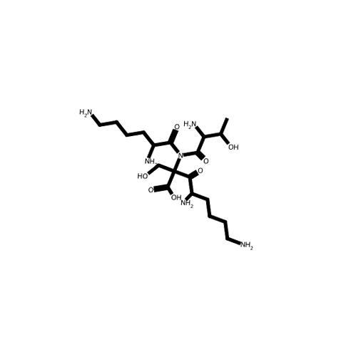 CC(O)C(N)C(=O)N(C(=O)C(N)CCCCN)C(CO)(C(=O)O)C(=O)C(N)CCCCN